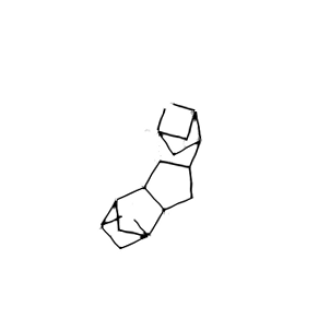 C1C2C3C[C@@]4(CC3O4)C2C2C3CC4(CC3O4)C12